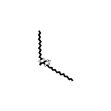 C=C(OC(=O)CCCCCCCCCCCCC)C(CO)OC(=O)CCCCCCCCCCCCC